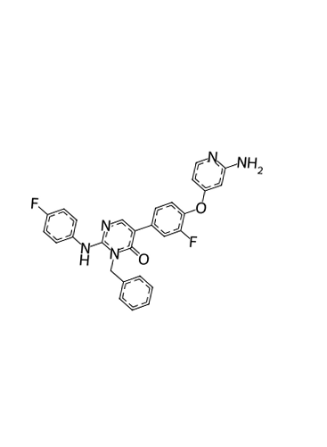 Nc1cc(Oc2ccc(-c3cnc(Nc4ccc(F)cc4)n(Cc4ccccc4)c3=O)cc2F)ccn1